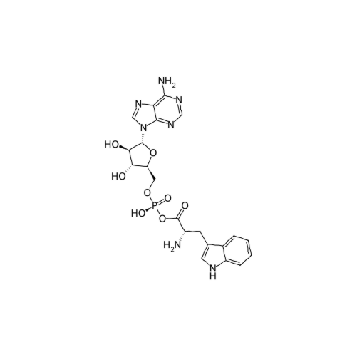 Nc1ncnc2c1ncn2[C@@H]1O[C@@H](CO[P@@](=O)(O)OC(=O)[C@@H](N)Cc2c[nH]c3ccccc23)[C@H](O)[C@H]1O